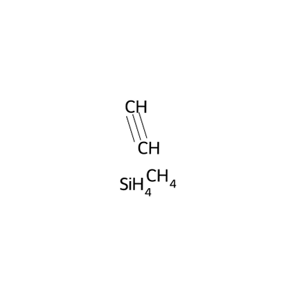 C.C#C.[SiH4]